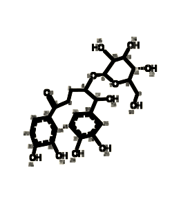 O=C(CCC(O[C@@H]1OC(CO)[C@@H](O)C(O)C1O)C(O)c1ccc(O)c(O)c1)c1ccc(O)c(O)c1